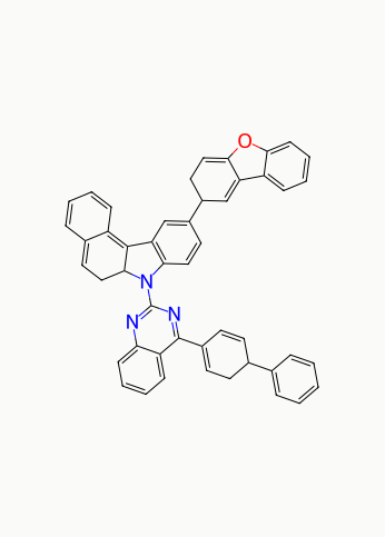 C1=CC(c2ccccc2)CC=C1c1nc(N2c3ccc(C4C=c5c(oc6ccccc56)=CC4)cc3C3=c4ccccc4=CCC32)nc2ccccc12